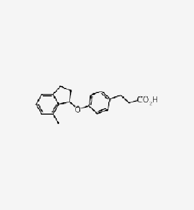 Cc1cccc2c1C(Oc1ccc(CCC(=O)O)cc1)CC2